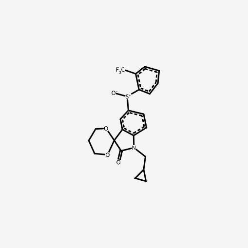 O=C1N(CC2CC2)c2ccc([S+]([O-])c3ccccc3C(F)(F)F)cc2C12OCCCO2